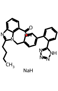 CCCCc1nc2cccc(C(=O)O)c2n1Cc1ccc(-c2ccccc2-c2nnn[nH]2)cc1.[NaH]